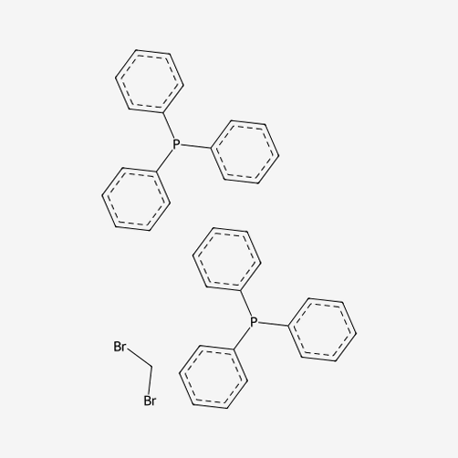 BrCBr.c1ccc(P(c2ccccc2)c2ccccc2)cc1.c1ccc(P(c2ccccc2)c2ccccc2)cc1